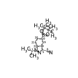 CC(C)n1nc(C#N)c2cc(B3OC(C)(C)C(C)(C)O3)ccc21